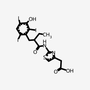 CCC(Cc1c(I)cc(I)c(O)c1I)C(=O)Nc1nc(CC(=O)O)cs1